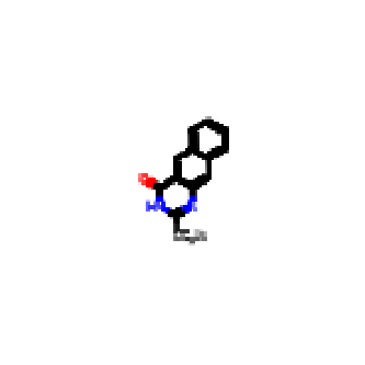 CCOC(=O)c1nc2cc3ccccc3cc2c(=O)[nH]1